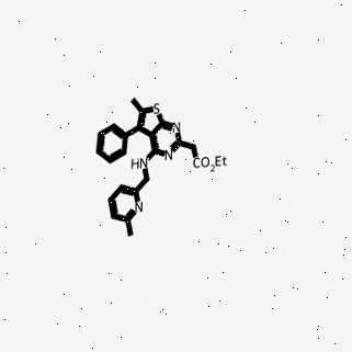 CCOC(=O)Cc1nc(NCc2cccc(C)n2)c2c(-c3ccccc3)c(C)sc2n1